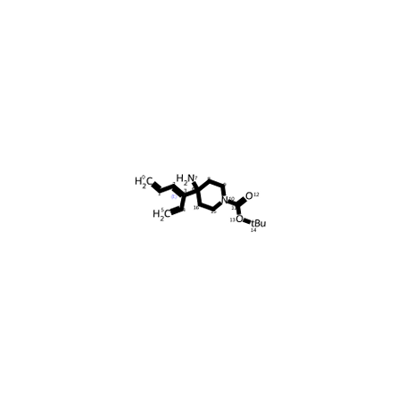 C=C/C=C(\C=C)C1(N)CCN(C(=O)OC(C)(C)C)CC1